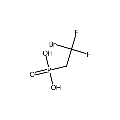 O=P(O)(O)CC(F)(F)Br